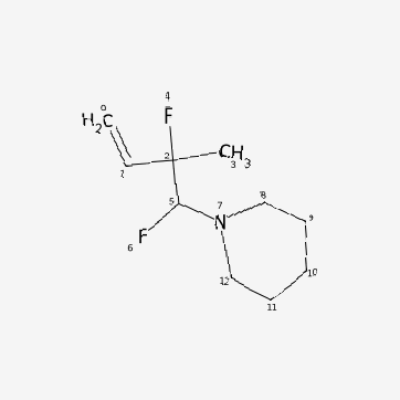 C=CC(C)(F)C(F)N1CCCCC1